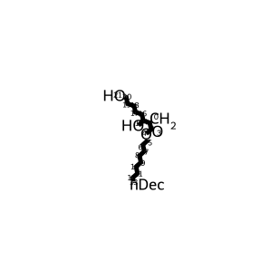 C=C(C(=O)OCCCCCCCCCCCCCCCCCC)C(O)CCCCCO